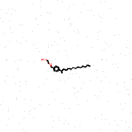 CCCCCCCCCCCCC(C)c1ccc(COCCO)cc1